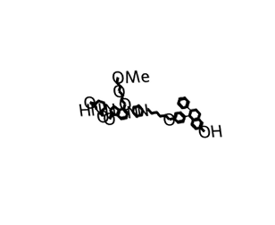 COCCOCCOc1c(N2CCN(CCCCCOc3ccc([C@@H]4c5ccc(O)cc5CC[C@@H]4c4ccccc4)cc3)CC2)ccc2c1CN(C1CCC(=O)NC1=O)C2=O